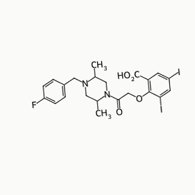 CC1CN(C(=O)COc2c(I)cc(I)cc2C(=O)O)C(C)CN1Cc1ccc(F)cc1